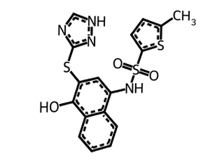 Cc1ccc(S(=O)(=O)Nc2cc(Sc3nc[nH]n3)c(O)c3ccccc23)s1